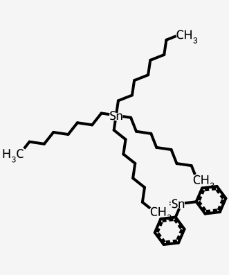 CCCCCCC[CH2][Sn]([CH2]CCCCCCC)([CH2]CCCCCCC)[CH2]CCCCCCC.c1cc[c]([Sn][c]2ccccc2)cc1